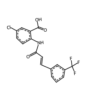 O=C(C=Cc1cccc(C(F)(F)F)c1)Nc1ccc(Cl)cc1C(=O)O